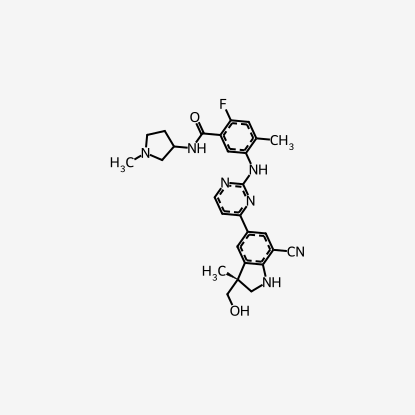 Cc1cc(F)c(C(=O)NC2CCN(C)C2)cc1Nc1nccc(-c2cc(C#N)c3c(c2)[C@@](C)(CO)CN3)n1